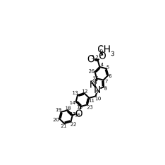 COC(=O)c1ccc2cn(Cc3cccc(Oc4ccccc4)c3)nc2c1